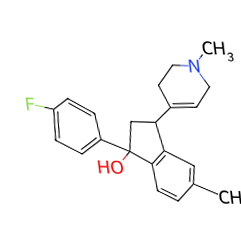 Cc1ccc2c(c1)C(C1=CCN(C)CC1)CC2(O)c1ccc(F)cc1